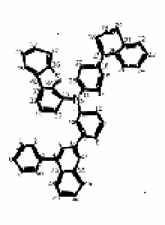 c1ccc(-c2cc(-c3cccc(N(c4ccc(-c5cccc6ccccc56)cc4)c4cccc5c4sc4ccccc45)c3)cc3ccccc23)cc1